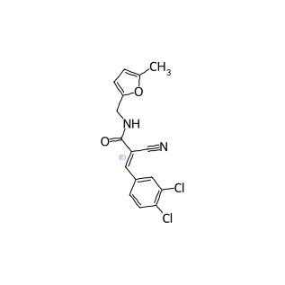 Cc1ccc(CNC(=O)/C(C#N)=C/c2ccc(Cl)c(Cl)c2)o1